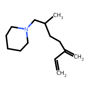 C=CC(=C)CCC(C)CN1CCCCC1